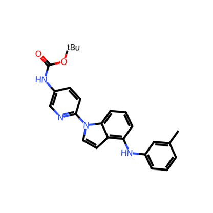 Cc1cccc(Nc2cccc3c2ccn3-c2ccc(NC(=O)OC(C)(C)C)cn2)c1